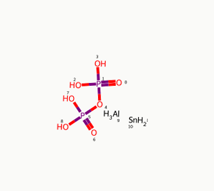 O=P(O)(O)OP(=O)(O)O.[AlH3].[SnH2]